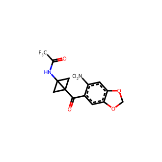 O=C(NC12CC1(C(=O)c1cc3c(cc1[N+](=O)[O-])OCO3)C2)C(F)(F)F